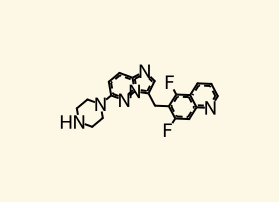 Fc1cc2ncccc2c(F)c1Cc1cnc2ccc(N3CCNCC3)nn12